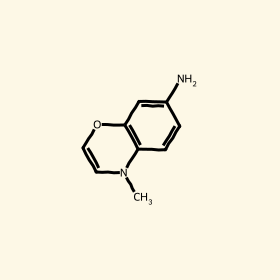 CN1C=COc2cc(N)ccc21